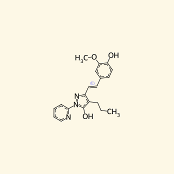 CCCc1c(/C=C/c2ccc(O)c(OC)c2)nn(-c2ccccn2)c1O